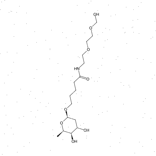 C[C@H]1O[C@@H](OCCCCC(=O)NCCOCCOCO)CC(O)[C@H]1O